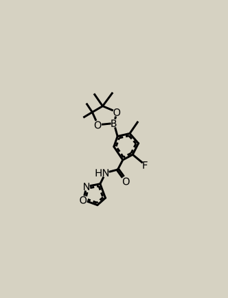 Cc1cc(F)c(C(=O)Nc2ccon2)cc1B1OC(C)(C)C(C)(C)O1